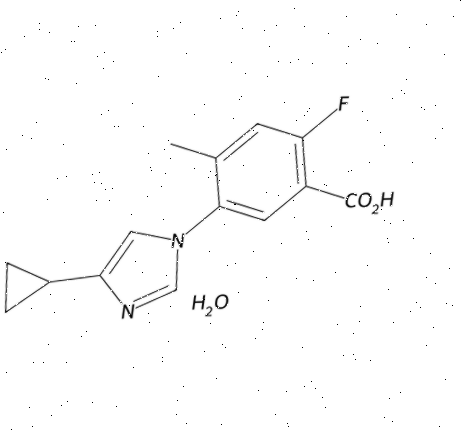 Cc1cc(F)c(C(=O)O)cc1-n1cnc(C2CC2)c1.O